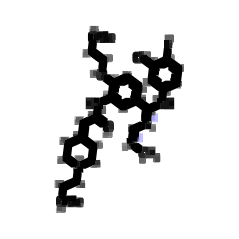 C/N=C\N=C(\Nc1ccc(F)c(Cl)c1)c1ccc(OCCOC)c(NC(=O)C=C2CCN(CCOC)CC2)c1